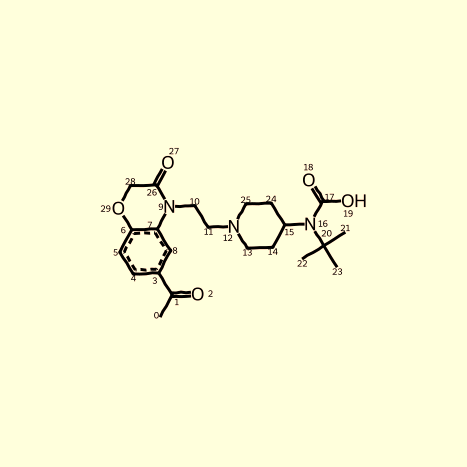 CC(=O)c1ccc2c(c1)N(CCN1CCC(N(C(=O)O)C(C)(C)C)CC1)C(=O)CO2